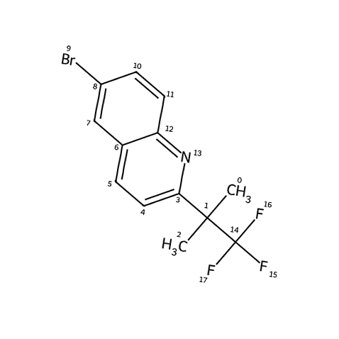 CC(C)(c1ccc2cc(Br)ccc2n1)C(F)(F)F